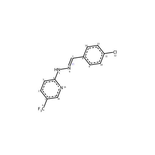 FC(F)(F)c1ccc(N/N=C/c2ccc(Cl)cc2)nc1